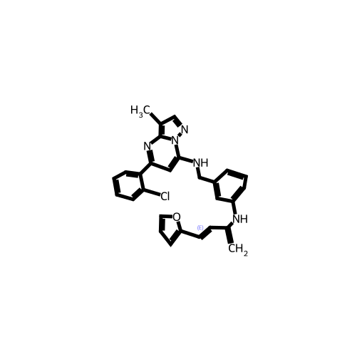 C=C(/C=C/c1ccco1)Nc1cccc(CNc2cc(-c3ccccc3Cl)nc3c(C)cnn23)c1